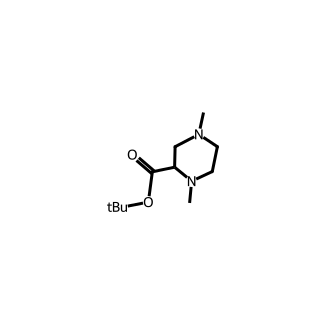 CN1CCN(C)C(C(=O)OC(C)(C)C)C1